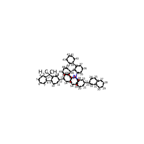 CC1(C)c2ccccc2-c2ccc(-c3ccc(N(c4cccc(-c5ccc6ccccc6c5)c4)c4cccc(-c5ccccc5)c4-c4ccccc4-c4ccccc4)cc3)cc21